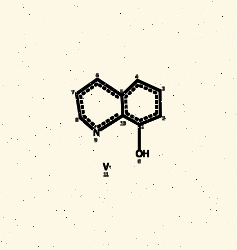 Oc1cccc2cccnc12.[V]